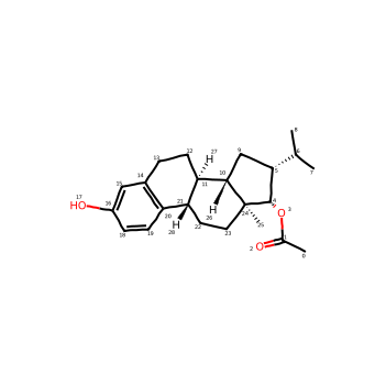 CC(=O)O[C@H]1[C@@H](C(C)C)C[C@H]2[C@@H]3CCc4cc(O)ccc4[C@H]3CC[C@@]21C